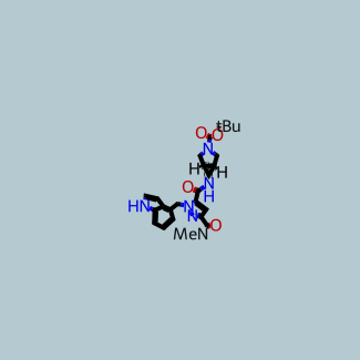 CNC(=O)c1cc(C(=O)N[C@H]2[C@@H]3CN(C(=O)OC(C)(C)C)C[C@@H]32)n(Cc2cccc3[nH]ccc23)n1